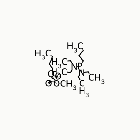 CCCCOS(=O)(=O)OC.CCCCP(N(CC)CC)N(CC)CC